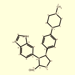 CN1CCN(c2ccc([C@H]3COC(C=O)N3c3ccc4nc[nH]c4c3)cc2)CC1